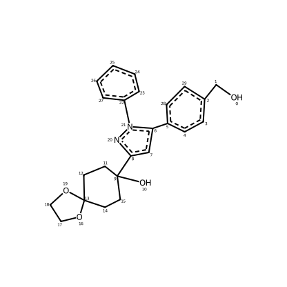 OCc1ccc(-c2cc(C3(O)CCC4(CC3)OCCO4)nn2-c2ccccc2)cc1